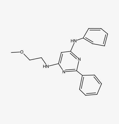 COCCNc1cc(Nc2ccccc2)nc(-c2ccccc2)n1